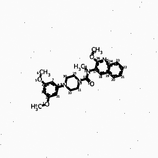 COc1cc(OC)cc(N2CCN(C(=O)N(C)c3cc4ccccc4nc3OC)CC2)c1